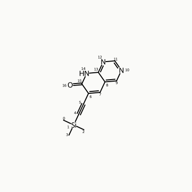 C[Si](C)(C)C#Cc1cc2cncnc2[nH]c1=O